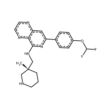 C[C@@]1(CNc2nc(-c3ccc(OC(F)F)cc3)cc3nccnc23)CCCNC1